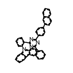 c1ccc(-c2nc(-c3ccc(-c4ccc5ccccc5c4)cc3)nc(-c3ccccc3-n3c4ccccc4c4ccccc43)n2)cc1